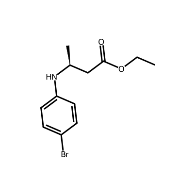 CCOC(=O)C[C@H](C)Nc1ccc(Br)cc1